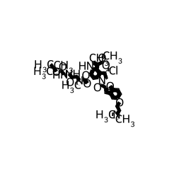 COC(=O)c1c(C)[nH]c2c(OC(=O)N(C)CC(=O)NNC(=O)OC(C)(C)C)cc3c(c12)[C@H](CCl)CN3C(=O)c1cc2cc(OCCN(C)C)ccc2o1